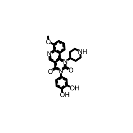 COc1cccc2c1ncc1c(=O)n(-c3ccc(O)c(O)c3)c(=O)n(C3CCNCC3)c12